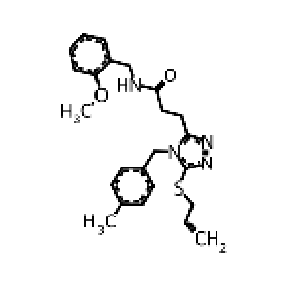 C=CCSc1nnc(CCC(=O)NCc2ccccc2OC)n1Cc1ccc(C)cc1